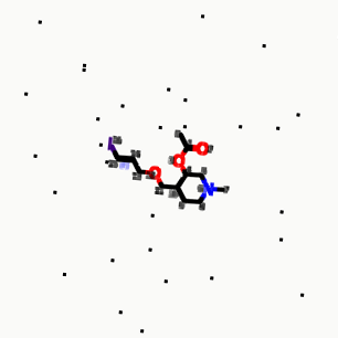 CC(=O)OC1CN(C)CCC1COC/C=C/I